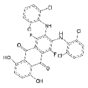 O=C1c2c(O)ccc(O)c2C(=O)c2c(F)c(Nc3c(Cl)cccc3Cl)c(Nc3c(Cl)cccc3Cl)c(F)c21